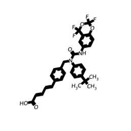 CC(C)(C)c1ccc(N(Cc2ccc(C=CC=CC(=O)O)cc2)C(=O)Nc2ccc3c(c2)C(F)(F)OC(F)(F)O3)cc1